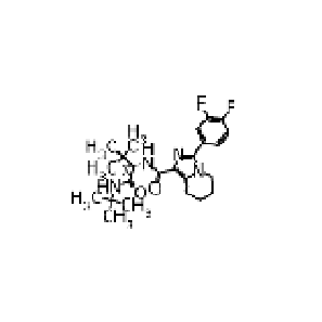 CC(C)(C)NC(=O)[C@@H](NC(=O)c1nc(-c2ccc(F)c(F)c2)n2c1CCCC2)C(C)(C)C